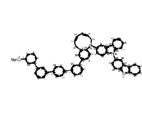 COc1cccc(-c2cccc(-c3ccc(-c4cccc(-c5ccc6c(c5)C/C=C\C=C/CN6c5ccc6c(c5)c5ccccc5n6-c5ccc6oc7ccccc7c6c5)c4)cc3)c2)c1